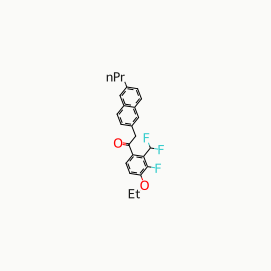 CCCc1ccc2cc(CC(=O)c3ccc(OCC)c(F)c3C(F)F)ccc2c1